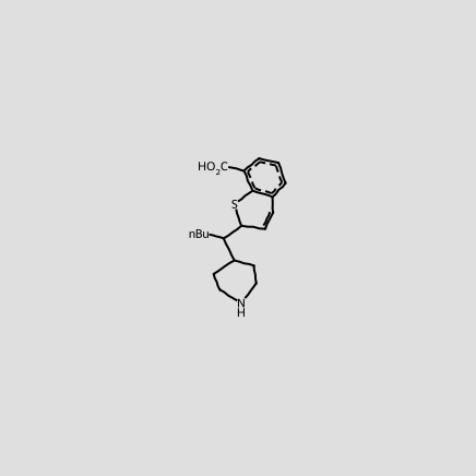 CCCCC(C1CCNCC1)C1C=Cc2cccc(C(=O)O)c2S1